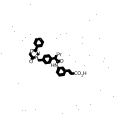 CC(C)C(C(=O)Nc1cccc(/C=C/C(=O)O)c1)c1ccc(CN2N=C(c3ccccc3)OCC2=O)cc1